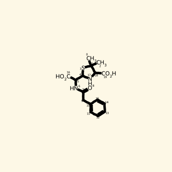 CC1(C)SC(C(NC(=O)Cc2ccccc2)C(=O)O)NC1C(=O)O